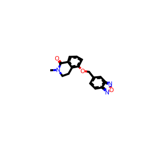 CN1CCc2c(OCc3ccc4nonc4c3)cccc2C1=O